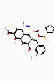 CN(C)[C@H]1C(O)=C(C(N)=O)C(=O)[C@@]2(O)C(O)=C3C(=O)c4c(O)cccc4[C@H](CSC4CCCC4)[C@H]3[C@H](OC(=O)CCO)[C@@H]12